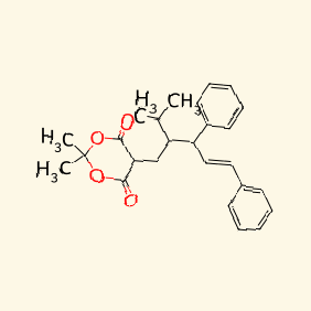 CC(C)C(CC1C(=O)OC(C)(C)OC1=O)C(C=Cc1ccccc1)c1ccccc1